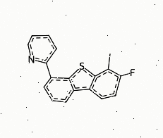 Cc1c(F)ccc2c1sc1c(-c3ccccn3)cccc12